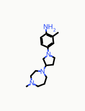 Cc1cc(N2CCC(N3CCCN(C)CC3)C2)ccc1N